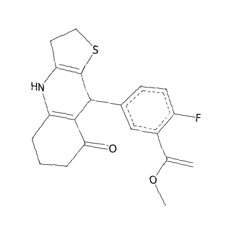 C=C(OC)c1cc(C2C3=C(CCS3)NC3=C2C(=O)CCC3)ccc1F